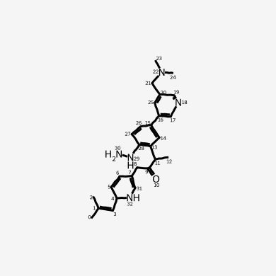 CC(C)=CC1C=CC(CC(=O)C(C)c2cc(-c3cncc(CN(C)C)c3)ccc2NN)=CN1